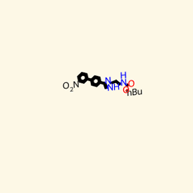 CCCCOC(=O)NCCc1nc(-c2ccc(-c3cccc([N+](=O)[O-])c3)cc2)c[nH]1